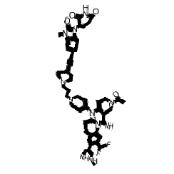 CN/C=C(\C=N)c1cc2c(cc1C(F)F)N(C(=N)C1CN(C(C)=O)CCC1NC1CCN(CCCN3CCC(C#Cc4ccc5c(c4)n(C)c(=O)n5C4CCC(=O)NC4=O)CC3)CC1)CCC2